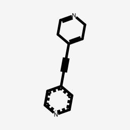 C(#Cc1ccncc1)C1=CCN=CC1